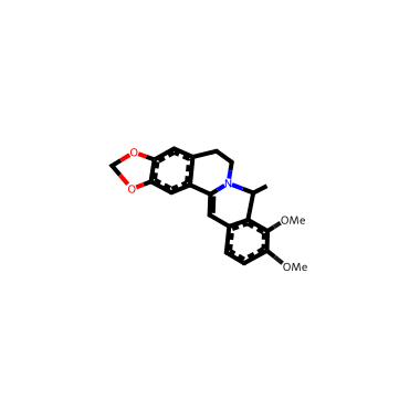 COc1ccc2c(c1OC)C(C)N1CCc3cc4c(cc3C1=C2)OCO4